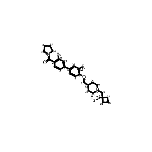 O=C(c1ccc(-c2ccc(OCC3CCN(CC4(C(F)(F)F)CCC4)CC3)c(F)c2)cc1F)N1CCCC1